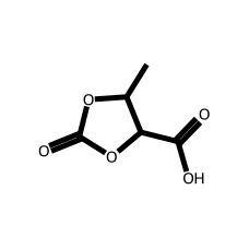 CC1OC(=O)OC1C(=O)O